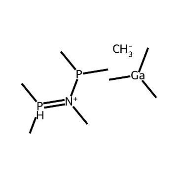 C[N+](P(C)C)=[PH](C)C.[CH3-].[CH3][Ga]([CH3])[CH3]